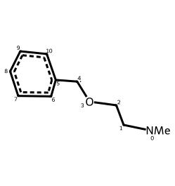 CNCCO[CH]c1ccccc1